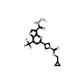 CNC(=O)c1csc2c(C(F)(F)F)cc(C3CN(C(=O)OCC4CC4)C3)nc12